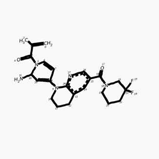 C=C(C)C(=O)N1C=CC(N2CCCc3cc(C(=O)N4CCCC(F)(F)C4)cnc32)=CC1N